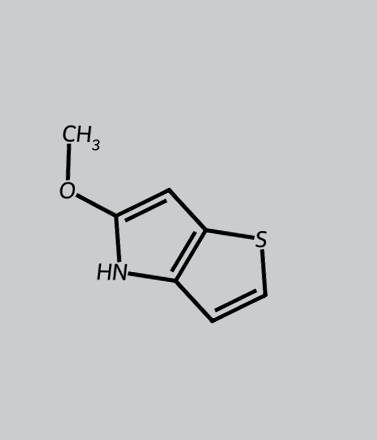 COc1cc2sccc2[nH]1